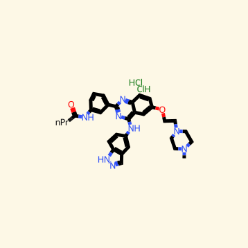 CCCC(=O)Nc1cccc(-c2nc(Nc3ccc4[nH]ncc4c3)c3cc(OCCN4CCN(C)CC4)ccc3n2)c1.Cl.Cl